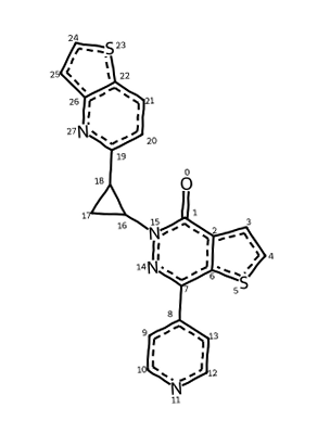 O=c1c2ccsc2c(-c2ccncc2)nn1C1CC1c1ccc2sccc2n1